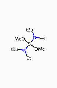 CCN(C(C)(C)C)[Si](OC)(OC)N(CC)C(C)(C)C